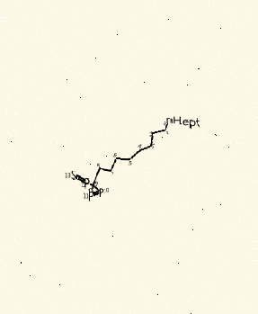 CCCCCCCCCCCCCCCC12P=P1=P2=S